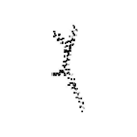 CCCCCCCCCCCOC(=O)CCCC1CC(CCCCCCC(=O)OC(CCCCCCCC)CCCCCCCC)N(CCO)C1